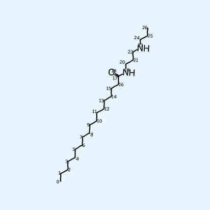 CCCCCCCCCCCCCCCCCC(=O)NCCCNCCC